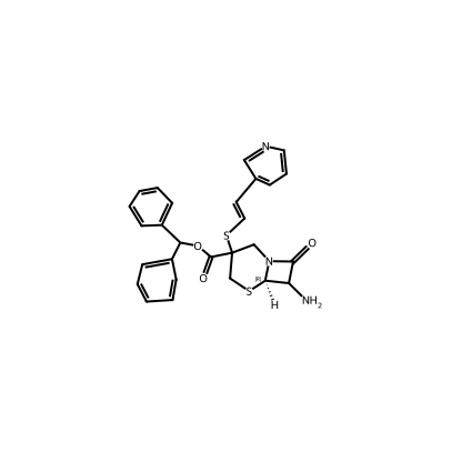 NC1C(=O)N2CC(SC=Cc3cccnc3)(C(=O)OC(c3ccccc3)c3ccccc3)CS[C@H]12